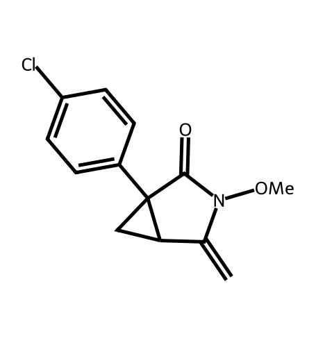 C=C1C2CC2(c2ccc(Cl)cc2)C(=O)N1OC